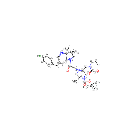 C[C@@H]1CN(CC(=O)N2CC(C)(C)c3ncc(Cc4ccc(F)cc4)cc32)[C@@H](CN2CCCOCC2=O)CN1C(=O)OC(C)(C)C